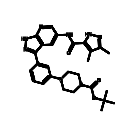 Cc1n[nH]c(C(=O)Nc2cnc3[nH]nc(-c4cccc(N5CCN(C(=O)OC(C)(C)C)CC5)c4)c3c2)c1C